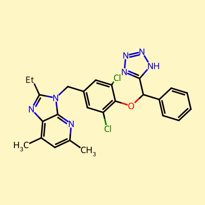 CCc1nc2c(C)cc(C)nc2n1Cc1cc(Cl)c(OC(c2ccccc2)c2nnn[nH]2)c(Cl)c1